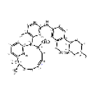 COCc1cc(Nc2ncc(C)c(N3c4cccc(n4)[C@](C)(O)CC/C=C\CN3C=O)n2)ccc1N1CCN(C)CC1